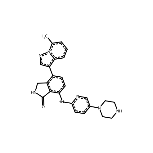 Cc1cccc2c(-c3ccc(Nc4ccc(N5CCNCC5)cn4)c4c3CNC4=O)cnn12